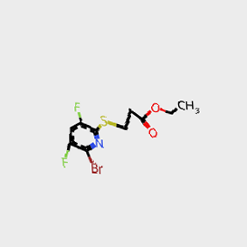 CCOC(=O)CCSc1nc(Br)c(F)cc1F